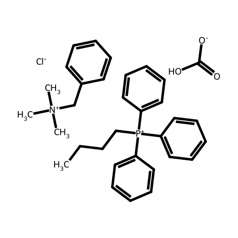 CCCC[P+](c1ccccc1)(c1ccccc1)c1ccccc1.C[N+](C)(C)Cc1ccccc1.O=C([O-])O.[Cl-]